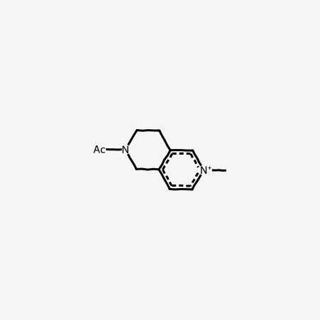 CC(=O)N1CCc2c[n+](C)ccc2C1